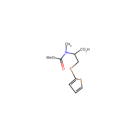 COC(=O)N(C)C(CSc1cccs1)C(=O)O